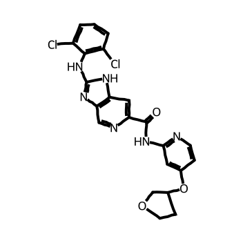 O=C(Nc1cc(OC2CCOC2)ccn1)c1cc2[nH]c(Nc3c(Cl)cccc3Cl)nc2cn1